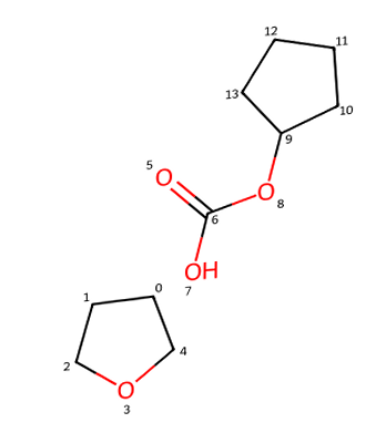 C1CCOC1.O=C(O)OC1CCCC1